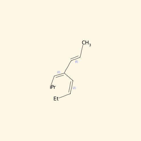 C/C=C/C(/C=C\CC)=C/C(C)C